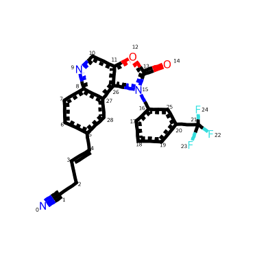 N#CC/C=C/c1ccc2ncc3oc(=O)n(-c4cccc(C(F)(F)F)c4)c3c2c1